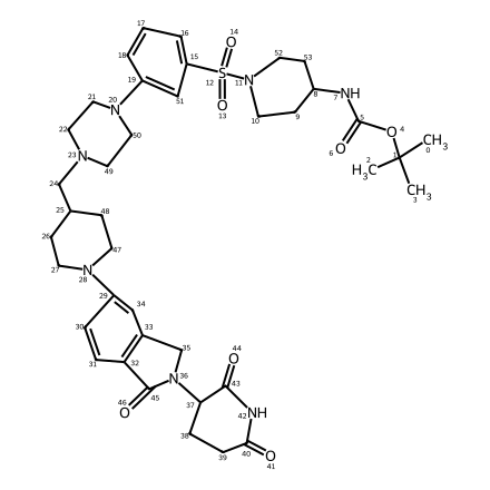 CC(C)(C)OC(=O)NC1CCN(S(=O)(=O)c2cccc(N3CCN(CC4CCN(c5ccc6c(c5)CN(C5CCC(=O)NC5=O)C6=O)CC4)CC3)c2)CC1